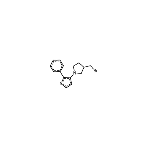 BrCC1CCN(c2ccsc2-c2ccccc2)C1